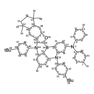 Cc1ccc(N(c2ccc(C)cc2)c2ccc3c(c2)N(c2ccc(C(C)(C)C)cc2)c2cc(C)cc4c2B3c2oc3cc5c(cc3c2N4c2ccc(C(C)(C)C)cc2)C(C)(C)CCC5(C)C)cc1